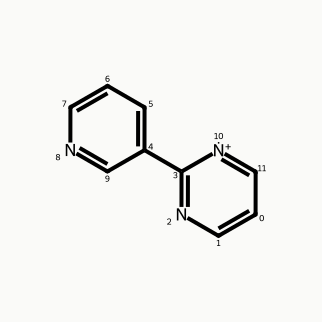 C1=CN=C(c2cccnc2)[N+]=C1